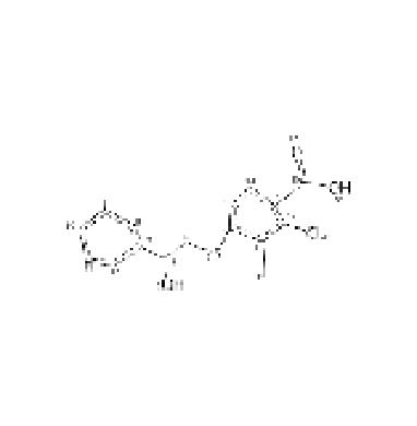 Cc1c(SCC(O)c2ccccc2)ccc(C(=O)O)c1Cl